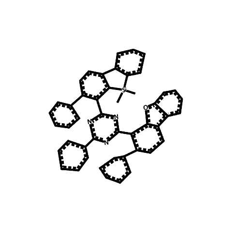 C[Si]1(C)c2ccccc2-c2ccc(-c3ccccc3)c(-c3nc(-c4ccccc4)nc(-c4c(-c5ccccc5)ccc5c4oc4ccccc45)n3)c21